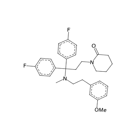 COc1cccc(CCN(C)C(CCN2CCCCC2=O)(c2ccc(F)cc2)c2ccc(F)cc2)c1